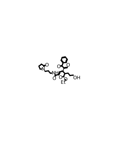 CCOC1OC(C(=O)NCCCN2CCCC2=O)=C[C@@H](c2coc3ccccc3c2=O)C1CCCO